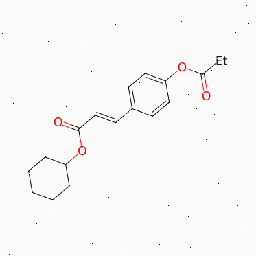 CCC(=O)Oc1ccc(C=CC(=O)OC2CCCCC2)cc1